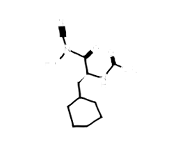 CC(=O)N[C@@H](CC1CCCCC1)C(=O)N(C)C#N